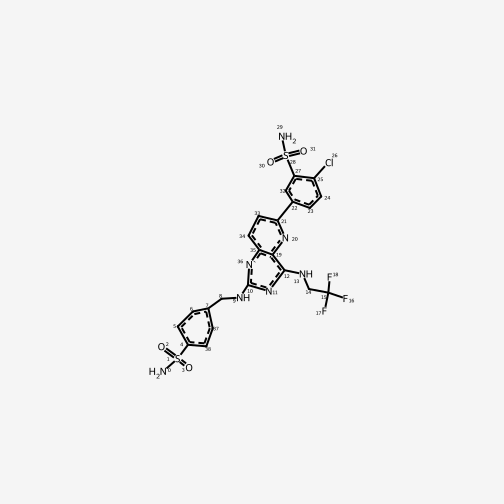 NS(=O)(=O)c1ccc(CNc2nc(NCC(F)(F)F)c3nc(-c4ccc(Cl)c(S(N)(=O)=O)c4)ccc3n2)cc1